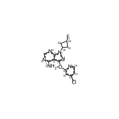 Nc1ncnc2c1c(Oc1cc(Cl)ccn1)nn2C1CC(F)C1